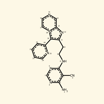 N#Cc1c(N)ncnc1NCCc1nc2cnccn2c1-c1ccccn1